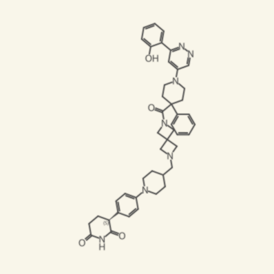 O=C1CC[C@@H](c2ccc(N3CCC(CN4CC5(C4)CN(C(=O)C4(c6ccccc6)CCN(c6cnnc(-c7ccccc7O)c6)CC4)C5)CC3)cc2)C(=O)N1